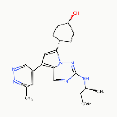 COC[C@H](C)Nc1ncc2c(-c3cnnc(C)c3)cc([C@H]3CC[C@H](O)CC3)n2n1